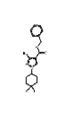 O=C(OCc1ccccc1)c1cn(C2CCC(F)(F)CC2)nc1Br